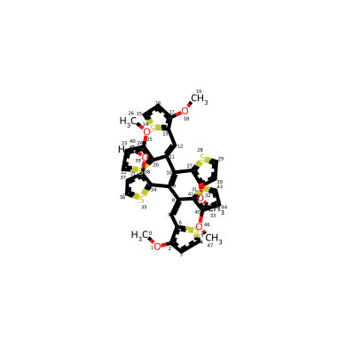 COc1ccsc1C=C(C(=C(C(=Cc1sccc1OC)c1sccc1OC)c1s[c]cc1OC)c1s[c]cc1OC)c1sccc1OC